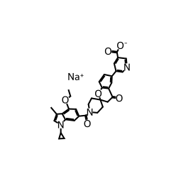 CCOc1cc(C(=O)N2CCC3(CC2)CC(=O)c2cc(-c4cncc(C(=O)[O-])c4)ccc2O3)cc2c1c(C)cn2C1CC1.[Na+]